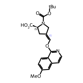 COc1ccc2c(O/C=C3\C[C@@H](C(=O)O)N(C(=O)OC(C)(C)C)C3)nccc2c1